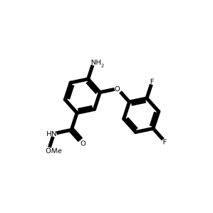 CONC(=O)c1ccc(N)c(Oc2ccc(F)cc2F)c1